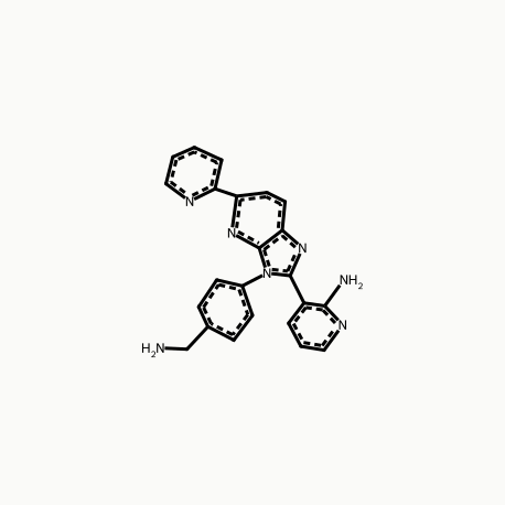 NCc1ccc(-n2c(-c3cccnc3N)nc3ccc(-c4ccccn4)nc32)cc1